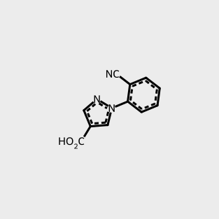 N#Cc1ccccc1-n1cc(C(=O)O)cn1